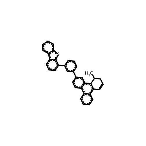 CC1CC=Cc2c1c1cc(-c3cccc(-c4cccc5c4sc4ccccc45)c3)ccc1c1ccccc21